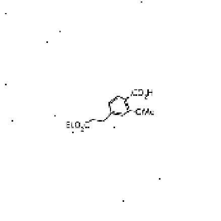 CCOC(=O)CCc1ccc(C(=O)O)c(OC)c1